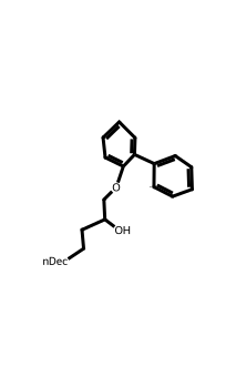 CCCCCCCCCCCCC(O)COc1ccccc1-c1[c]cccc1